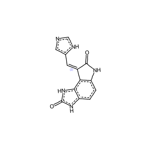 O=C1Nc2ccc3[nH]c(=O)[nH]c3c2/C1=C/c1cnc[nH]1